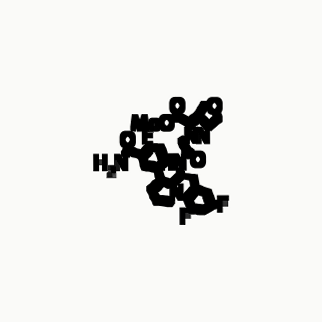 COC(=O)c1c2c(nn1CC(=O)N[C@@H](Cc1cc(F)cc(F)c1)c1ncccc1-c1ccc(F)c(C(N)=O)c1)COC2